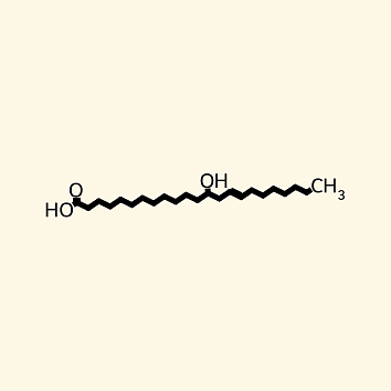 CCCCCCCC=CCC(O)CCCCCCCCCCCC(=O)O